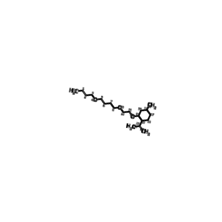 CCCCOCCCCOCCOC1CC(C)CCC1C(C)C